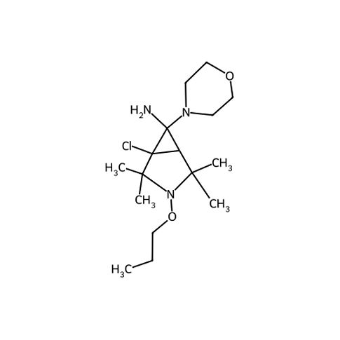 CCCON1C(C)(C)C2C(N)(N3CCOCC3)C2(Cl)C1(C)C